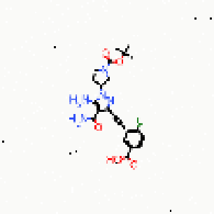 CC(C)(C)OC(=O)N1CCC(n2nc(C#Cc3cc(C(=O)O)ccc3Cl)c(C(N)=O)c2N)C1